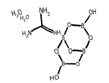 N=C(N)N.O.O.OB1OB2OB(O)OB(O1)O2